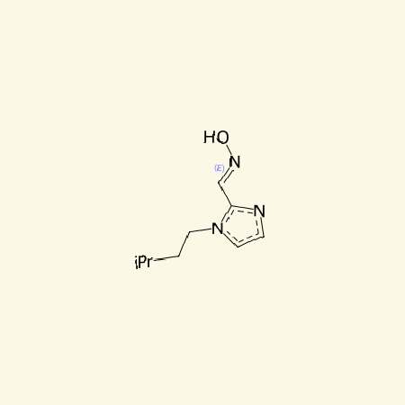 CC(C)CCn1ccnc1/C=N/O